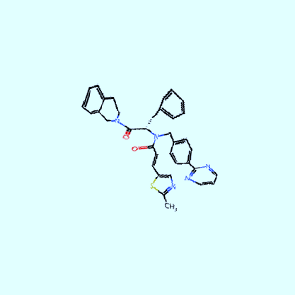 Cc1ncc(C=CC(=O)N(Cc2ccc(-c3ncccn3)cc2)[C@@H](Cc2ccccc2)C(=O)N2CCc3ccccc3C2)s1